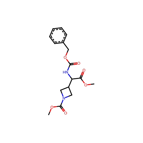 COC(=O)C(NC(=O)OCc1ccccc1)C1CN(C(=O)OC)C1